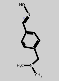 CN(C)Cc1ccc(/C=N/O)cc1